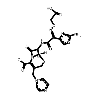 Nc1nc(C(=NOCC(=O)O)C(=O)NC2C(=O)N3C(C(=O)[O-])=C(C[n+]4ccncc4)CS[C@@H]23)cs1